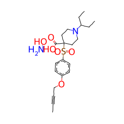 CC#CCOc1ccc(S(=O)(=O)C2(C(=O)O)CCN(C(CC)CC)CC2)cc1.NO